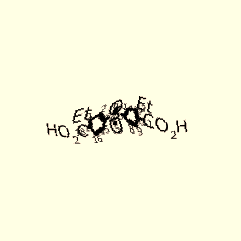 CCc1cc(S(=O)(=O)c2ccc(C(=O)O)c(CC)c2)ccc1C(=O)O